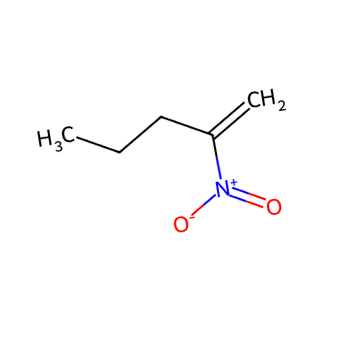 C=C(CCC)[N+](=O)[O-]